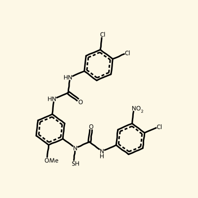 COc1ccc(NC(=O)Nc2ccc(Cl)c(Cl)c2)cc1N(S)C(=O)Nc1ccc(Cl)c([N+](=O)[O-])c1